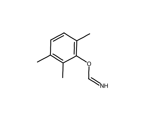 Cc1ccc(C)c(OC=N)c1C